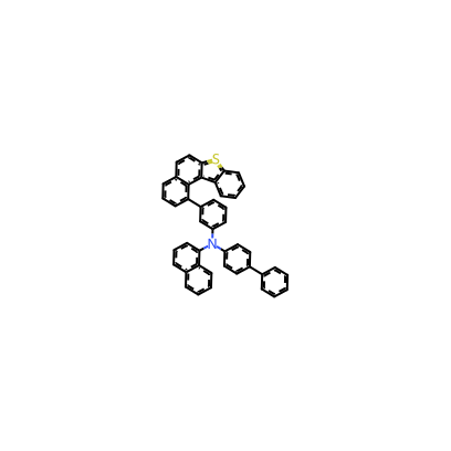 c1ccc(-c2ccc(N(c3cccc(-c4cccc5ccc6sc7ccccc7c6c45)c3)c3cccc4ccccc34)cc2)cc1